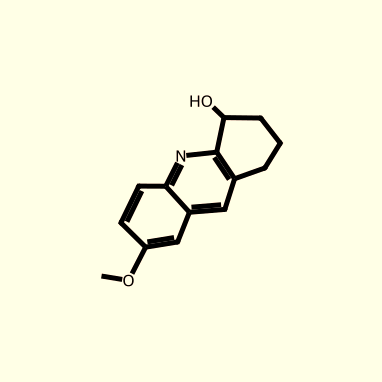 COc1ccc2nc3c(cc2c1)CCCC3O